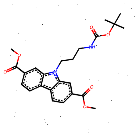 COC(=O)c1ccc2c3ccc(C(=O)OC)cc3n(CCCNC(=O)OC(C)(C)C)c2c1